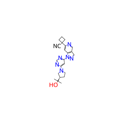 CC(C)(O)[C@@H]1CCN(c2cc(-n3ncc4cnc(C5(C#N)CCC5)cc43)ncn2)C1